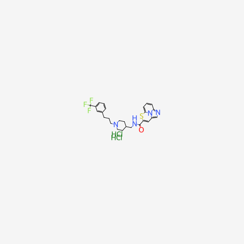 Cl.Cl.O=C(NCC1CCN(CCCc2cccc(C(F)(F)F)c2)CC1)C1=Cc2cnc3cccc(n23)S1